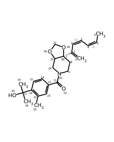 C=C(/C=C\C=C/C)[C@]12CCN(C(=O)c3ccc(C(C)(C)O)c(C)c3)CC1OCO2